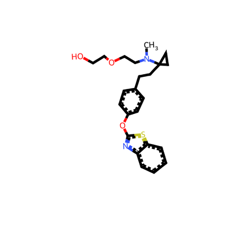 CN(CCOCCO)C1(CCc2ccc(Oc3nc4ccccc4s3)cc2)CC1